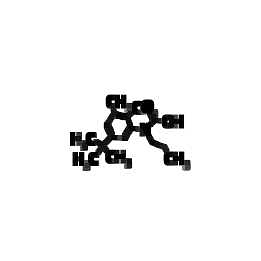 CCCN(C(=O)O)c1cc(C(C)(C)C)cc(C)c1C